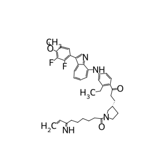 C=CC(=N)CCCCCC(=O)N1CC[C@@H](CCC(=O)c2ccc(Nc3ccccc4c(-c5ccc(OC)c(F)c5F)cnc3-4)cc2CC)C1